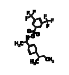 CCC(C)c1ccc(/C(C)=N\OS(=O)(=O)c2cc(C(F)(F)F)cc(C(F)(F)F)c2)cc1